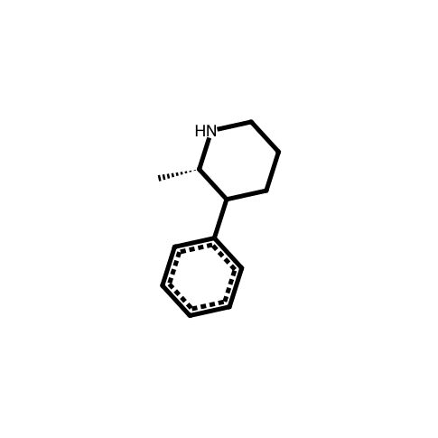 C[C@@H]1NCCCC1c1ccccc1